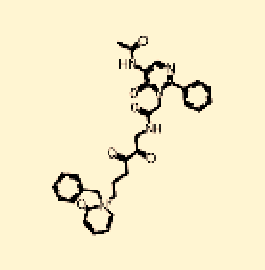 CC(=O)Nc1cnc(-c2ccccc2)n(CC(=O)NCC(=O)C(=O)CCC[N+]2(Cc3ccccc3)C=CC=CC2=O)c1=O